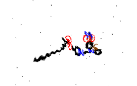 CCCCCCCCCCCCCCC(C)C(=O)OCCC1CCN(CCCN2c3ccccc3Sc3cc(S(=O)(=O)N(C)C)ccc32)CC1